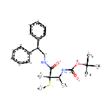 CSC(C)(C(=O)NCC(c1ccccc1)c1ccccc1)C(C)NC(=O)OC(C)(C)C